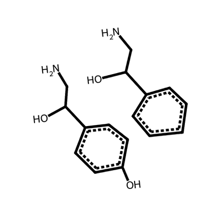 NCC(O)c1ccc(O)cc1.NCC(O)c1ccccc1